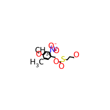 COc1cc([N+](=O)[O-])c(COC(=O)SCCC=O)cc1C